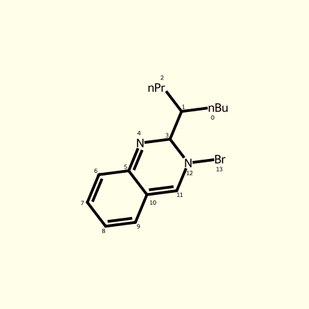 C[CH]CCC(CCC)C1N=c2ccccc2=CN1Br